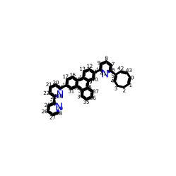 C1=C/CC\C=C(c2cccc(-c3ccc4c5ccc(-c6cccc(-c7ccccn7)n6)cc5c5ccccc5c4c3)n2)/C=C\1